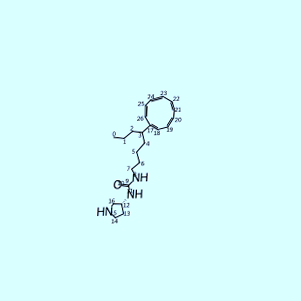 CCCC(CCCCNC(=O)N[C@@H]1CCNC1)c1ccccccccc1